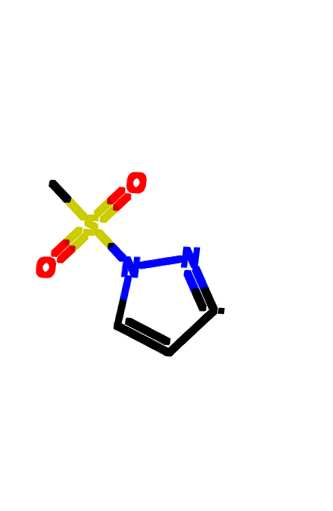 CS(=O)(=O)n1cc[c]n1